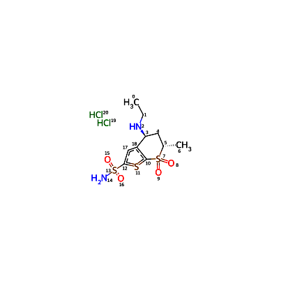 CCN[C@H]1C[C@H](C)S(=O)(=O)c2sc(S(N)(=O)=O)cc21.Cl.Cl